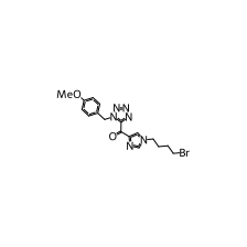 COc1ccc(Cn2nnnc2C(=O)c2cn(CCCCBr)cn2)cc1